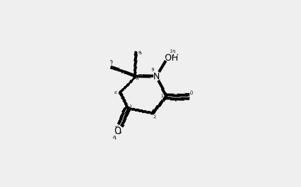 C=C1CC(=O)CC(C)(C)N1O